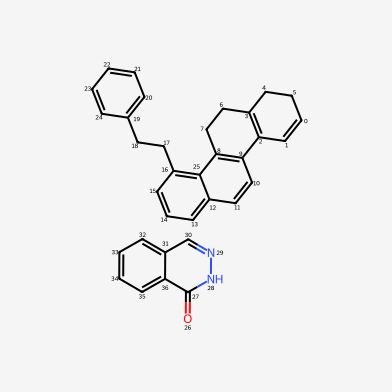 C1=CC2=C(CC1)CCc1c2ccc2cccc(CCc3ccccc3)c12.O=c1[nH]ncc2ccccc12